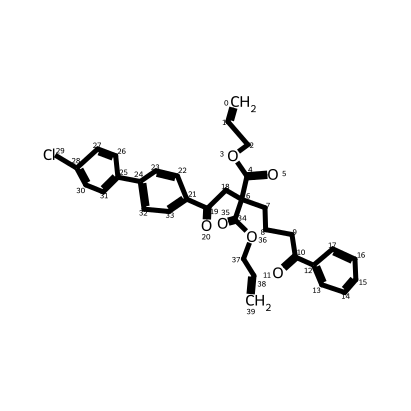 C=CCOC(=O)C(CCCC(=O)c1ccccc1)(CC(=O)c1ccc(-c2ccc(Cl)cc2)cc1)C(=O)OCC=C